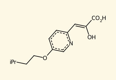 CC(C)CCOc1ccc(/C=C(\O)C(=O)O)nc1